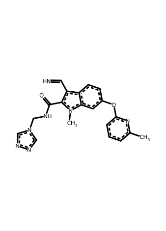 Cc1cccc(Oc2ccc3c(C=N)c(C(=O)NCn4cnnc4)n(C)c3c2)n1